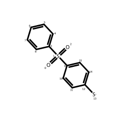 O=S(=O)(c1cc[c]cc1)c1ccc([S])cc1